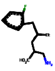 CCC(Cc1ccccc1F)CC(CN)C(=O)O